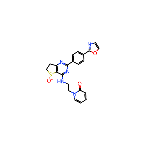 O=c1ccccn1CCNc1nc(-c2ccc(-c3ncco3)cc2)nc2c1[S@+]([O-])CC2